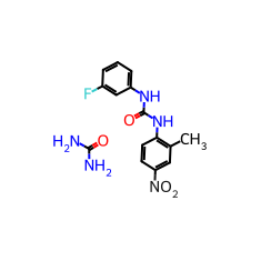 Cc1cc([N+](=O)[O-])ccc1NC(=O)Nc1cccc(F)c1.NC(N)=O